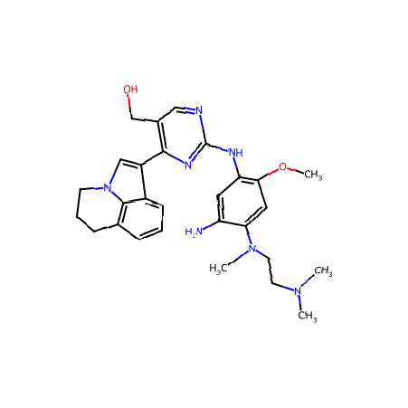 COc1cc(N(C)CCN(C)C)c(N)cc1Nc1ncc(CO)c(-c2cn3c4c(cccc24)CCC3)n1